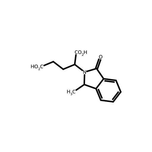 CC1c2ccccc2C(=O)N1C(CCC(=O)O)C(=O)O